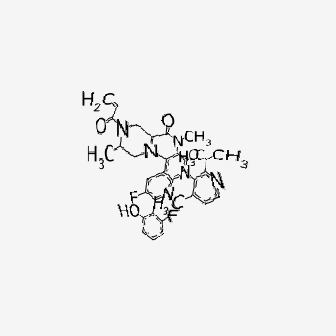 C=CC(=O)N1CC2C(=O)N(C)c3c(c4cc(F)c(-c5c(O)cccc5F)nc4n(-c4c(C)ccnc4C(C)C)c3=O)N2CC1C